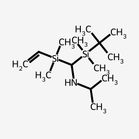 C=C[Si](C)(C)C(NC(C)C)[Si](C)(C)C(C)(C)C